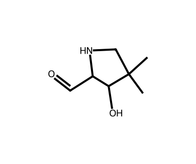 CC1(C)CNC(C=O)C1O